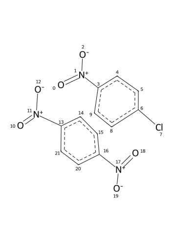 O=[N+]([O-])c1ccc(Cl)cc1.O=[N+]([O-])c1ccc([N+](=O)[O-])cc1